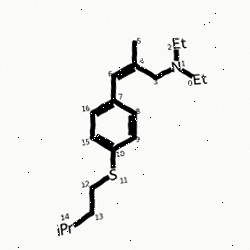 CCN(CC)CC(C)=Cc1ccc(SCCC(C)C)cc1